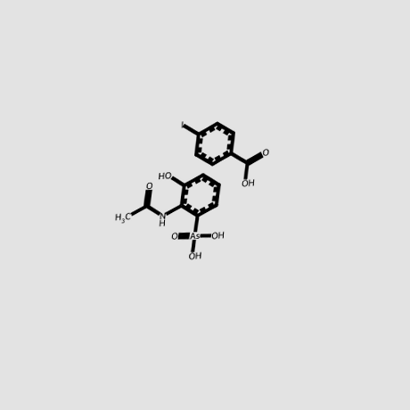 CC(=O)Nc1c(O)cccc1[As](=O)(O)O.O=C(O)c1ccc(I)cc1